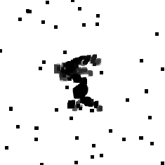 C=C/N=C/C(C)(C)NC/C=N/[C@H]1CC[C@@H](C(C)C)C1